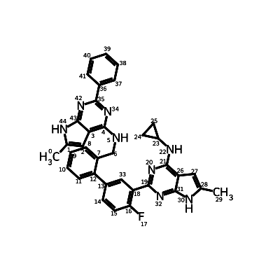 Cc1cc2c(NCc3ccccc3-c3ccc(F)c(-c4nc(NC5CC5)c5cc(C)[nH]c5n4)c3)nc(-c3ccccc3)nc2[nH]1